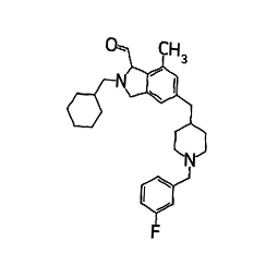 Cc1cc(CC2CCN(Cc3cccc(F)c3)CC2)cc2c1C(C=O)N(CC1CCCCC1)C2